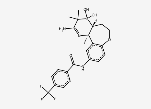 CC1(C)C(N)=N[C@]2(C)c3cc(NC(=O)c4ccc(C(F)(F)F)cn4)ccc3OCC[C@H]2S1(O)O